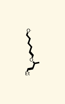 CCC=CC(C)OC=CCCCC[O]